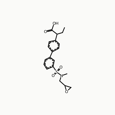 CCC(C(=O)O)c1ccc(-c2cccc(S(=O)(=O)N(C)CC3CO3)c2)cc1